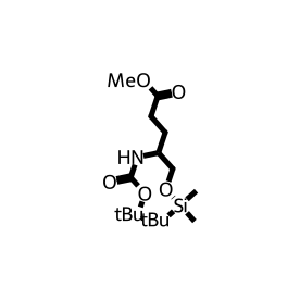 COC(=O)CCC(CO[Si](C)(C)C(C)(C)C)NC(=O)OC(C)(C)C